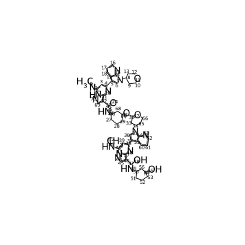 CNc1cc(-c2cn(C3CCOCC3)c3ncccc23)nc2c(C(=O)N[C@@H]3CCC[C@@H](OC4CC(n5cc(-c6cc(NC)n7ncc(C(O)NC8CCC[C@H](O)C8)c7n6)c6cccnc65)CCO4)C3)cnn12